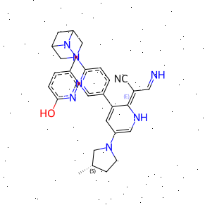 C[C@H]1CCN(C2=CN/C(=C(/C#N)C=N)C(c3ccc(N4CC5CC(C4)N5Cc4ccc(O)nc4)nc3)=C2)C1